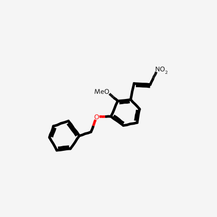 COc1c(/C=C/[N+](=O)[O-])cccc1OCc1ccccc1